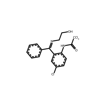 O=C(Nc1ccc(Cl)cc1/C(=N\CCO)c1ccccc1)C(Cl)(Cl)Cl